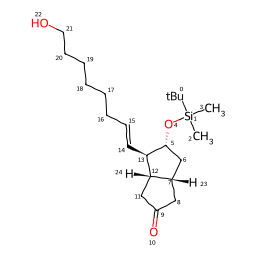 CC(C)(C)[Si](C)(C)O[C@@H]1C[C@@H]2CC(=O)C[C@@H]2[C@H]1C=CCCCCCCO